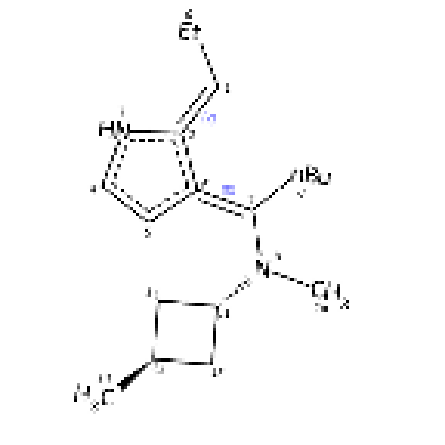 CC/C=c1\[nH]cc\c1=C(\CCCC)N(C)[C@H]1C[C@H](C)C1